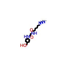 [N-]=[N+]=NCCCCCC(=O)NCC(=O)Nc1ccc(CO)cc1